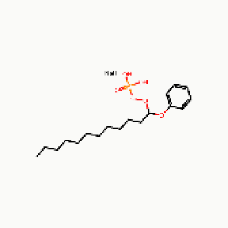 CCCCCCCCCCCC(OOP(=O)(O)O)Oc1ccccc1.[NaH]